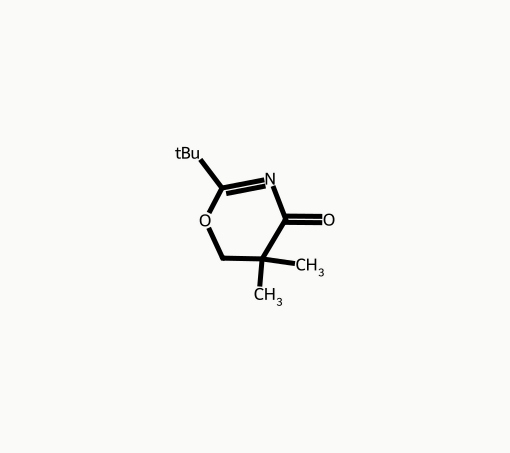 CC(C)(C)C1=NC(=O)C(C)(C)CO1